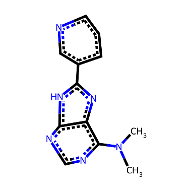 CN(C)c1ncnc2[nH]c(-c3cccnc3)nc12